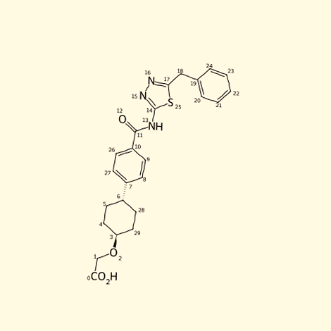 O=C(O)CO[C@H]1CC[C@H](c2ccc(C(=O)Nc3nnc(Cc4ccccc4)s3)cc2)CC1